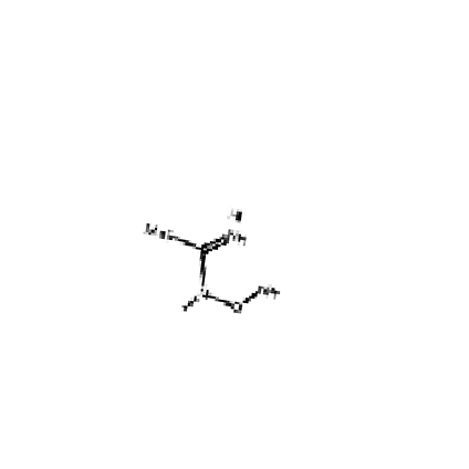 CCCON(C)C(=N)SC.I